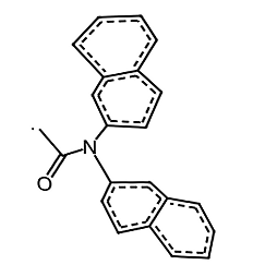 [CH2]C(=O)N(c1ccc2ccccc2c1)c1ccc2ccccc2c1